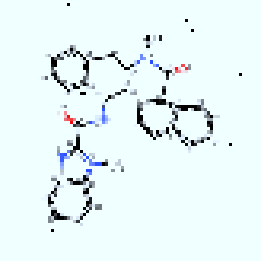 CN(C(=O)c1cccc2ccccc12)[C@H](CCNC(=O)c1nc2ccccc2n1C)Cc1ccccc1